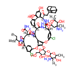 CN[C@H](CC(C)C)C(=O)N[C@H]1C(=O)C[C@@H](CC(N)=O)C(=O)N[C@H]2C(=O)C[C@H]3C(=O)N[C@H](C(=O)N[C@H](C(=O)CC4C5CC6CC(C5)CC4C6)c4cc(O)cc(O)c4-c4cc3ccc4O)[C@H](OC3CC(C)(N)C(O)C(C)O3)c3ccc(c(Cl)c3)Oc3cc2cc(c3OC2OC(CO)C(O)C(O)C2OC2CC(C)(N)C(O)C(C)O2)Oc2ccc(cc2Cl)[C@H]1O